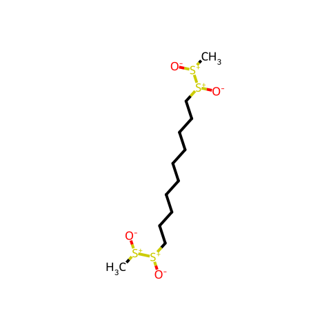 C[S+]([O-])[S+]([O-])CCCCCCCCCC[S+]([O-])[S+](C)[O-]